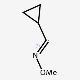 CO/N=[C]/C1CC1